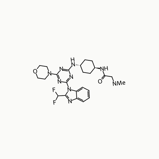 CNCC(=O)N[C@H]1CC[C@H](Nc2nc(N3CCOCC3)nc(-n3c(C(F)F)nc4ccccc43)n2)CC1